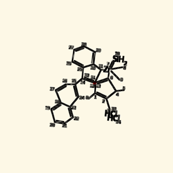 CC1=C(C)C(C)[C]([Zr]([CH3])([CH3])(=[SiH2])[CH]2C(C)=C(c3ccc4ccccc4c3)c3ccccc32)=C1C.Cl.Cl